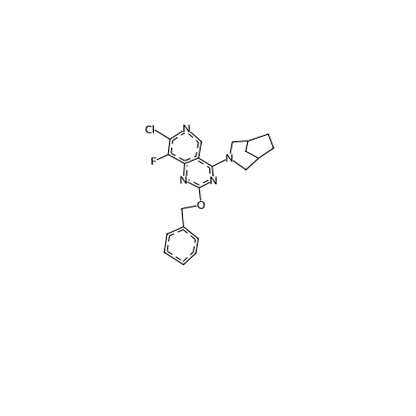 Fc1c(Cl)ncc2c(N3CC4CCC(C4)C3)nc(OCc3ccccc3)nc12